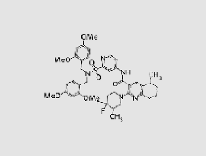 COc1ccc(CN(Cc2ccc(OC)cc2OC)S(=O)(=O)c2cc(NC(=O)c3cc4c(nc3N3CCC(F)(F)C(C)C3)CCCC4C)ccn2)c(OC)c1